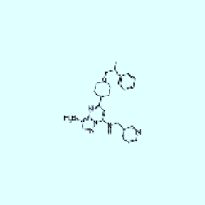 Bc1cnn2c(NCc3cccnc3)cc(C3CCN(CC(C)c4ccccc4)CC3)nc12